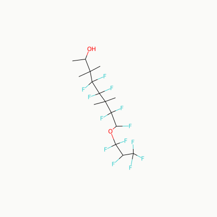 CC(O)C(C)(C)C(F)(F)C(F)(F)C(C)(C)C(F)(F)C(F)OC(F)(F)C(F)C(F)(F)F